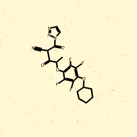 CC(Oc1c(F)c(F)c(OC2CCCCC2)c(F)c1F)C(=O)C(C#N)C(=O)n1ccnn1